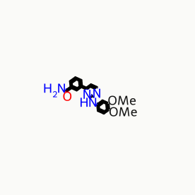 COc1ccc(Nc2nccc(-c3cccc(C(N)=O)c3)n2)cc1OC